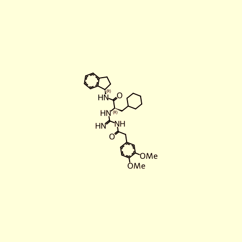 COc1ccc(CC(=O)NC(=N)N[C@H](CC2CCCCC2)C(=O)N[C@@H]2CCc3ccccc32)cc1OC